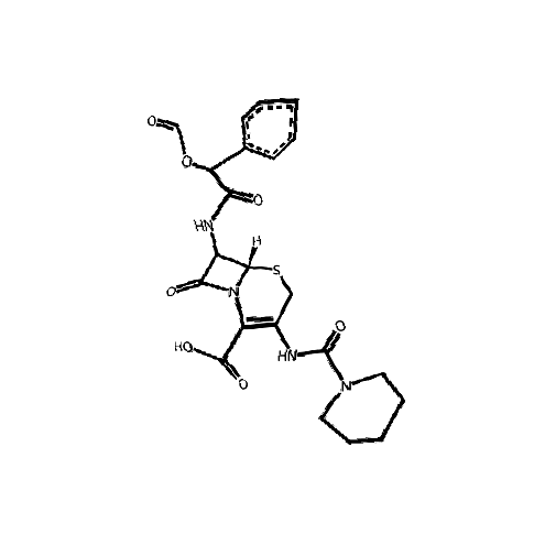 O=COC(C(=O)NC1C(=O)N2C(C(=O)O)=C(NC(=O)N3CCCCC3)CS[C@@H]12)c1ccccc1